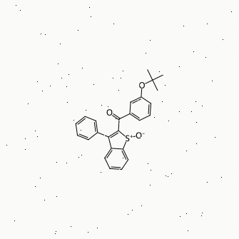 CC(C)(C)Oc1cccc(C(=O)c2c(-c3ccccc3)c3ccccc3[s+]2[O-])c1